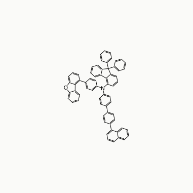 c1ccc(C2(c3ccccc3)c3ccccc3-c3c(N(c4ccc(-c5ccc(-c6cccc7ccccc67)cc5)cc4)c4ccc(-c5cccc6oc7ccccc7c56)cc4)cccc32)cc1